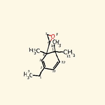 CCC1=CC(C)(C2CO2)C(C)(C)C=C1